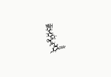 COc1cc(F)cc(CN(C)C(=O)N2CCc3cc(-c4cn[nH]c4)ccc32)c1